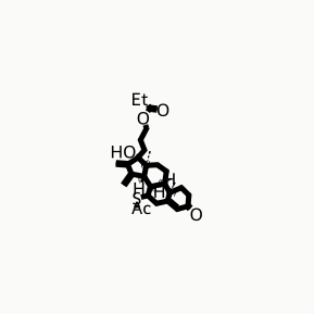 C=C1C(=C)C(O)(CCCOC(=O)CC)[C@@]2(C)CC[C@@H]3[C@@H](C(SC(C)=O)CC4=CC(=O)CC[C@@]43C)[C@H]12